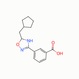 O=C(O)c1cccc(C2=NOC(CC3CCCC3)N2)c1